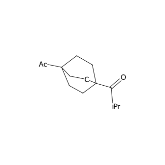 CC(=O)C12CCC(C(=O)C(C)C)(CC1)CC2